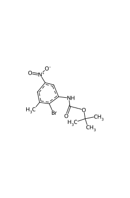 Cc1cc([N+](=O)[O-])cc(NC(=O)OC(C)(C)C)c1Br